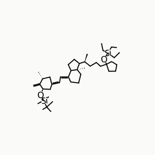 C=C1[C@H](C)C/C(=C\C=C2/CCC[C@@]3(C)C2CCC3[C@@H](C)CCCC2(O[Si](CC)(CC)CC)CCCC2)C[C@H]1O[Si](C)(C)C(C)(C)C